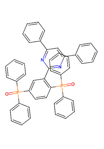 O=P(c1ccccc1)(c1ccccc1)c1ccc(P(=O)(c2ccccc2)c2ccccc2)c(-c2nc(-c3ccccc3)cc(-c3ccccc3)n2)c1